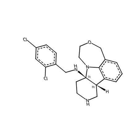 Clc1ccc(CN[C@]23CCNC[C@H]2c2cccc4c2N3CCOC4)c(Cl)c1